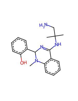 CN1c2ccccc2C(NC(C)(C)CN)=NC1c1ccccc1O